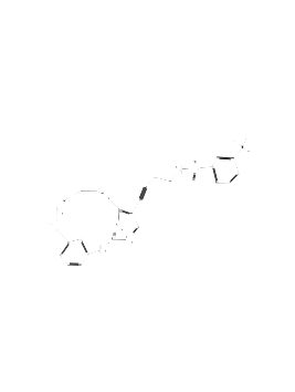 O=S(=O)(NCCC#Cc1cnc2nc1NCCCNS(=O)(=O)c1cccc(c1)N2)c1cccc(C(F)(F)F)c1